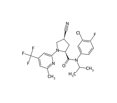 Cc1cc(C(F)(F)F)cc(N2C[C@@H](C#N)C[C@H]2C(=O)N(c2ccc(F)c(Cl)c2)C(C)C)n1